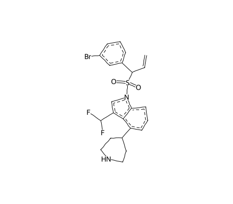 C=CC(c1cccc(Br)c1)S(=O)(=O)n1cc(C(F)F)c2c(C3CCNCC3)cccc21